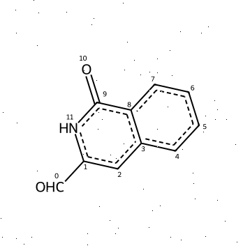 O=Cc1cc2ccccc2c(=O)[nH]1